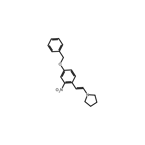 O=[N+]([O-])c1cc(OCc2ccccc2)ccc1C=CN1CCCC1